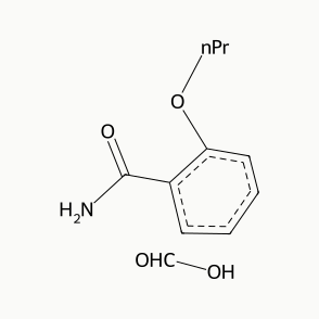 CCCOc1ccccc1C(N)=O.O=CO